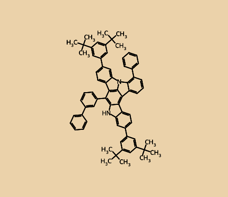 CC(C)(C)c1cc(-c2ccc3c(c2)[nH]c2c(-c4cccc(-c5ccccc5)c4)c4c5ccc(-c6cc(C(C)(C)C)cc(C(C)(C)C)c6)cc5n5c6c(-c7ccccc7)cccc6c(c23)c45)cc(C(C)(C)C)c1